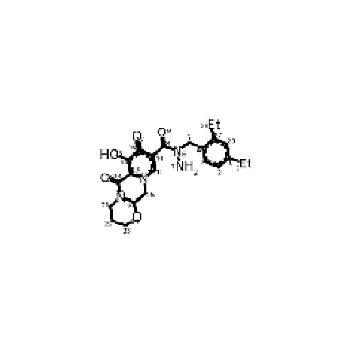 CCc1ccc(CN(N)C(=O)c2cn3c(c(O)c2=O)C(=O)N2CCCOC2C3)c(CC)c1